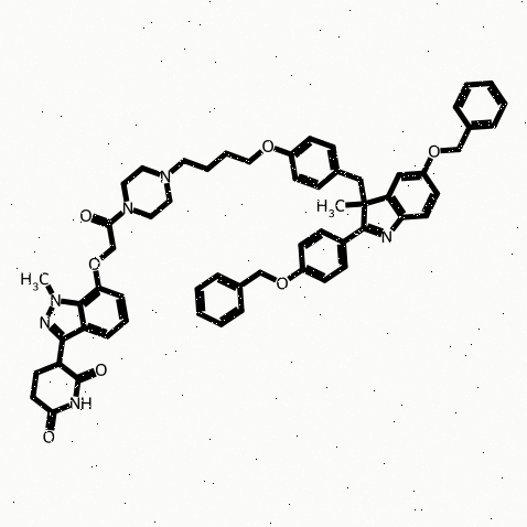 Cn1nc(C2CCC(=O)NC2=O)c2cccc(OCC(=O)N3CCN(CCCCOc4ccc(CC5(C)C(c6ccc(OCc7ccccc7)cc6)=Nc6ccc(OCc7ccccc7)cc65)cc4)CC3)c21